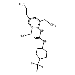 CCCc1cc(CC)c(NC(=S)NC2CCC(C(F)(F)F)CC2)c(CC)c1